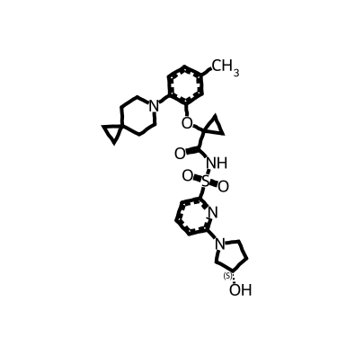 Cc1ccc(N2CCC3(CC2)CC3)c(OC2(C(=O)NS(=O)(=O)c3cccc(N4CC[C@H](O)C4)n3)CC2)c1